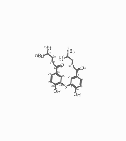 CCCCC(CC)COC(=O)c1ccc(O)c(Sc2cc(C(=O)OCC(CC)CCCC)ccc2O)c1